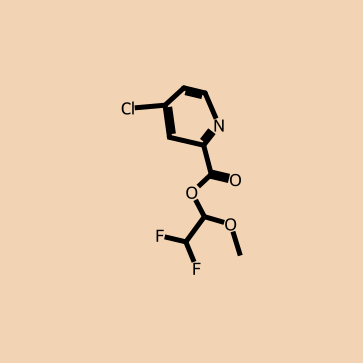 COC(OC(=O)c1cc(Cl)ccn1)C(F)F